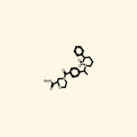 CNC(=O)C1CN(C(=O)c2ccc(C(C)N3CCCC(c4ccccc4)S3(=O)=O)cc2)CCO1